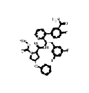 CC(C)(C)OC(=O)N1C[C@@H](Oc2ccccc2)CC1C(=O)N[C@@H](Cc1cc(F)cc(F)c1)c1ncccc1-c1ccc(F)c(C(N)=O)c1